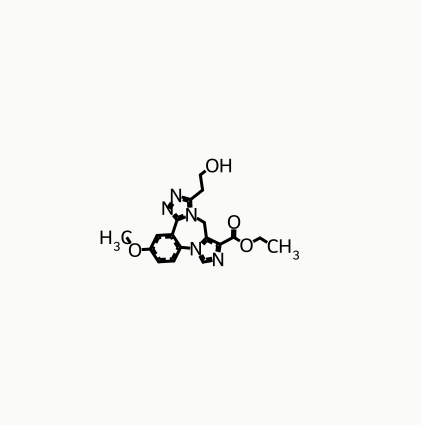 CCOC(=O)c1ncn2c1Cn1c(CCO)nnc1-c1cc(OC)ccc1-2